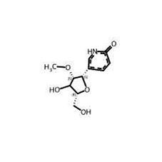 CO[C@H]1C(O)[C@@H](CO)O[C@H]1c1ccc(=O)[nH]c1